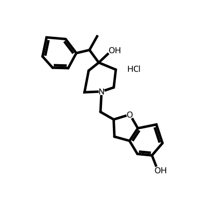 CC(c1ccccc1)C1(O)CCN(CC2Cc3cc(O)ccc3O2)CC1.Cl